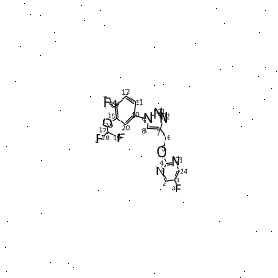 Fc1cnc(OCc2cn(-c3ccc(F)c(OC(F)F)c3)nn2)nc1